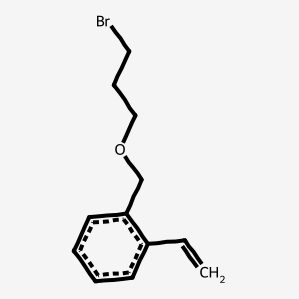 C=Cc1ccccc1COCCCBr